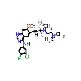 CCOc1cc2ncnc(Nc3ccc(F)c(Cl)c3)c2cc1C#CC(C)(C)N(C)CCN(C)C